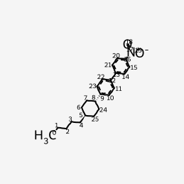 CCCCC[C@H]1CC[C@H](c2ccc(-c3ccc([N+](=O)[O-])cc3)cc2)CC1